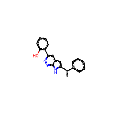 CC(c1ccccc1)c1cc2cc(-c3ccccc3O)nnc2[nH]1